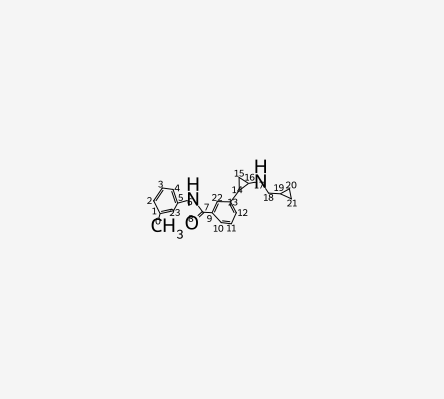 Cc1cccc(NC(=O)c2cccc(C3CC3NCC3CC3)c2)c1